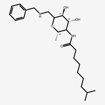 CC(C)CCCCCCC(=O)NC1[C@H](C)OC(CNCc2ccccc2)[C@@H](O)[C@@H]1O